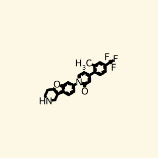 Cc1cc(C(F)(F)F)ccc1-c1ccn(-c2ccc3c4c(oc3c2)CCNC4)c(=O)c1